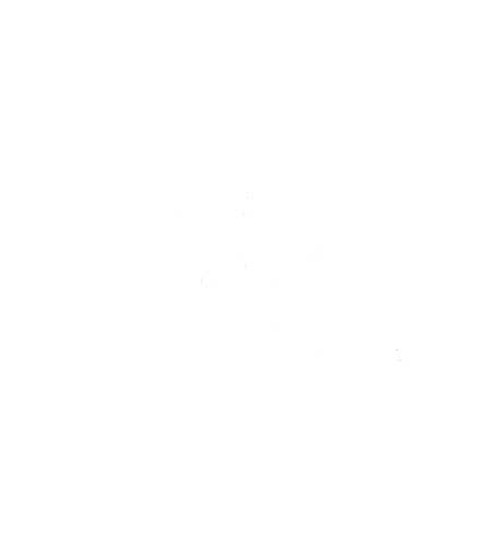 CCc1ccc(C(=O)Oc2ccccc2)c(C)c1